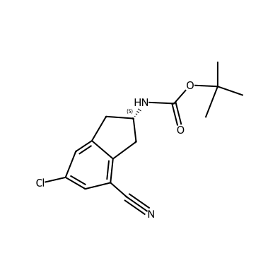 CC(C)(C)OC(=O)N[C@H]1Cc2cc(Cl)cc(C#N)c2C1